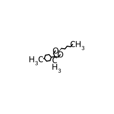 CCCCC[C@H]1OC[C@@](C)(C2CCC(C)CC2)CO1